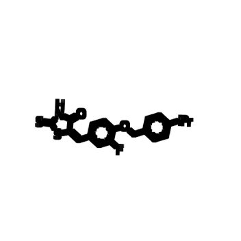 CC(C)c1ccc(COc2ccc(C=C3SC(=S)NC3=O)cc2F)cc1